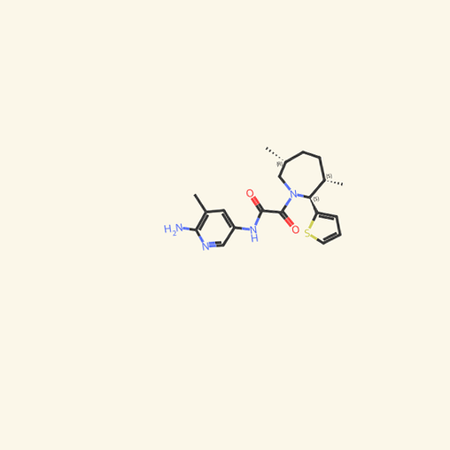 Cc1cc(NC(=O)C(=O)N2C[C@H](C)CC[C@H](C)[C@H]2c2cccs2)cnc1N